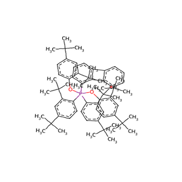 CC(C)(C)c1ccc(OP(Oc2ccc(C(C)(C)C)cc2C(C)(C)C)(c2ccc(C(C)(C)C)cc2C(C)(C)C)(c2ccc(C(C)(C)C)cc2C(C)(C)C)c2cccc3c2-c2ccccc2-3)c(C(C)(C)C)c1